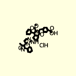 COC(=O)c1c(-c2ccccc2)c2cc(Nc3nccc(-c4c(-c5ccccc5)noc4C)n3)ccc2c(=O)n1Cc1ccc(C(=O)O)cc1.Cl